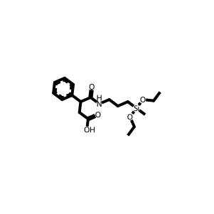 CCO[Si](C)(CCCNC(=O)C(CC(=O)O)c1ccccc1)OCC